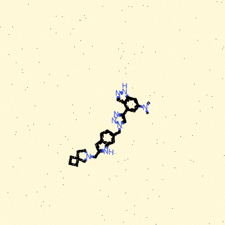 CN(C)c1cc(-c2cn(Cc3ccc4cc(CN5CCC6(CCC6)C5)[nH]c4c3)nn2)c2cn[nH]c2c1